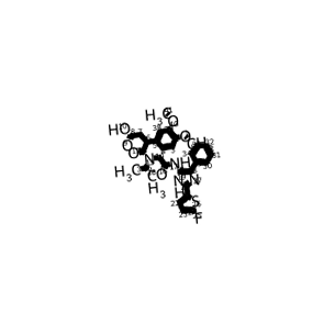 COc1ccc(C(CC(=O)O)C(=O)N(CC(=O)Nc2[nH]c(-c3ccc(F)s3)nc2-c2ccccc2)C(C)C)cc1OC